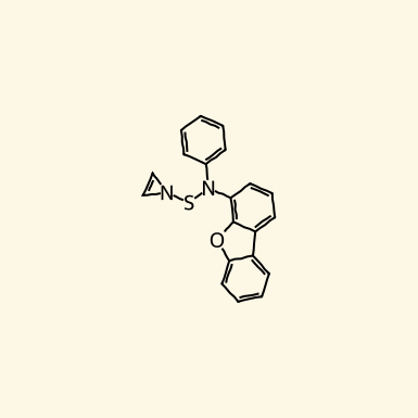 C1=CN1SN(c1ccccc1)c1cccc2c1oc1ccccc12